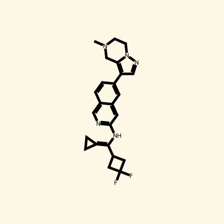 CN1CCn2ncc(-c3ccc4cnc(NC(=C5CC5)C5CC(F)(F)C5)cc4c3)c2C1